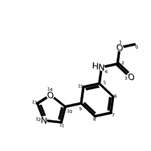 COC(=O)Nc1cccc(-c2cnco2)c1